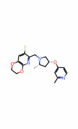 Cc1cc(O[C@@H]2C[C@H](C)N(Cc3nc4c(cc3F)OCCO4)C2)ccn1